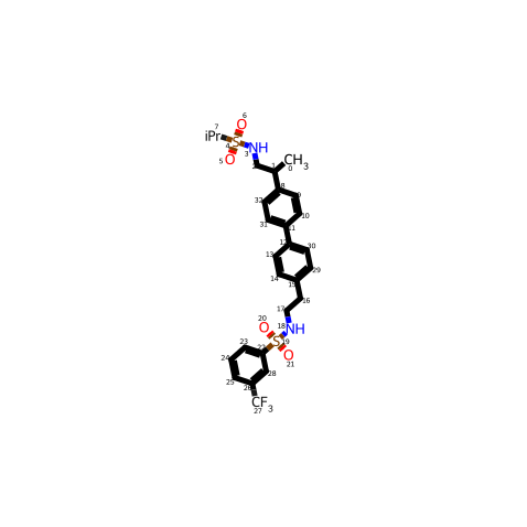 CC(CNS(=O)(=O)C(C)C)c1ccc(-c2ccc(CCNS(=O)(=O)c3cccc(C(F)(F)F)c3)cc2)cc1